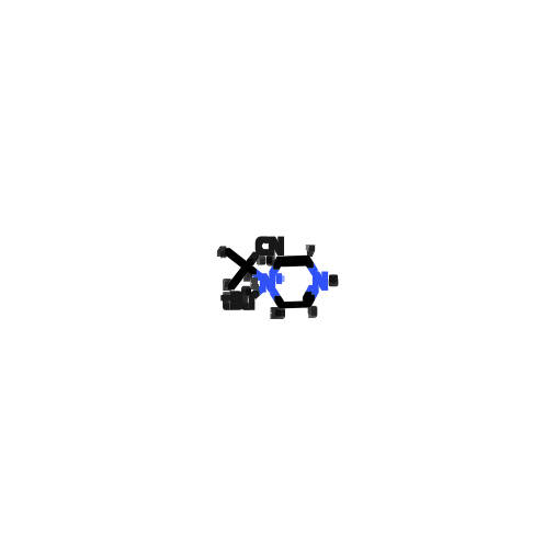 CC(C)(C)[N+]1(C(C)(C)C#N)C=CN=CC1